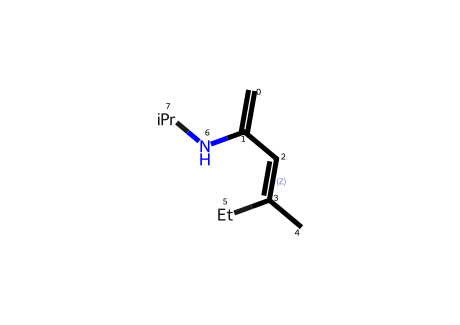 C=C(/C=C(/C)CC)NC(C)C